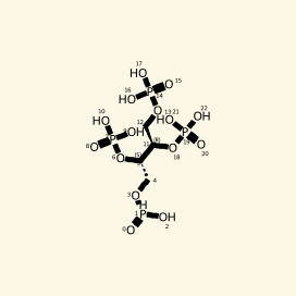 O=[PH](O)OC[C@H](OP(=O)(O)O)[C@@H](COP(=O)(O)O)OP(=O)(O)O